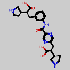 O=C(Nc1cccc(C[C@H](C(=O)O)[C@H]2CCNC2)c1)c1cnc(C[C@H](C(O)O)[C@H]2CCNC2)cn1